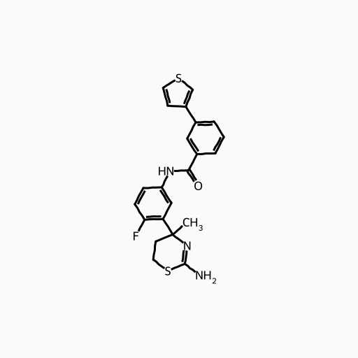 CC1(c2cc(NC(=O)c3cccc(-c4ccsc4)c3)ccc2F)CCSC(N)=N1